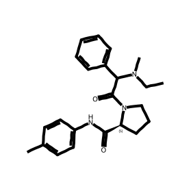 CCN(C)C(C(=O)N1CCC[C@H]1C(=O)Nc1ccc(C)cc1)c1ccccc1